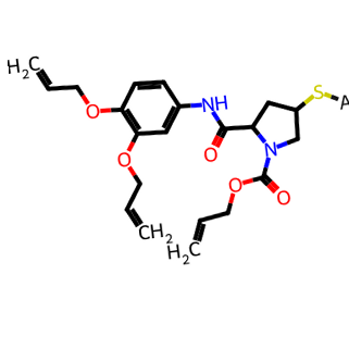 C=CCOC(=O)N1CC(SC(C)=O)CC1C(=O)Nc1ccc(OCC=C)c(OCC=C)c1